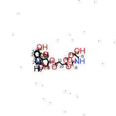 C[C@H](NC(=O)[C@H](C)OC(=O)CCC(=O)OC1=CC[C@@]2(O)[C@H]3Cc4ccc(O)c5c4[C@@]2(CCN3C)[C@H]1O5)C(=O)O